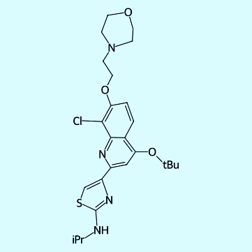 CC(C)Nc1nc(-c2cc(OC(C)(C)C)c3ccc(OCCN4CCOCC4)c(Cl)c3n2)cs1